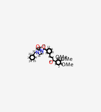 COc1ccc(C(=O)/C=C/c2cccc(C(=O)N3CCN(Cc4ccccc4)C34COC4)c2)c(OC)c1OC